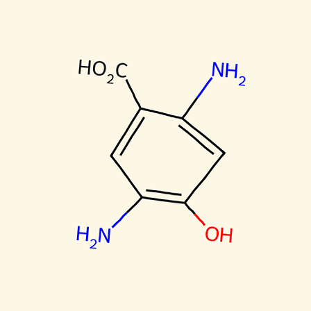 Nc1cc(C(=O)O)c(N)cc1O